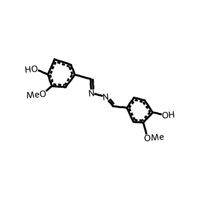 COc1cc(C=NN=Cc2ccc(O)c(OC)c2)ccc1O